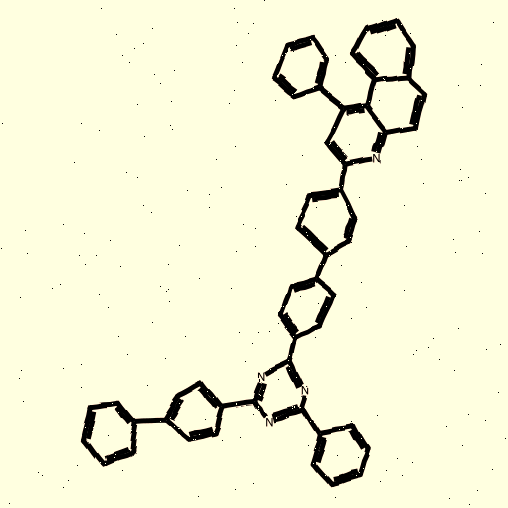 c1ccc(-c2ccc(-c3nc(-c4ccccc4)nc(-c4ccc(-c5ccc(-c6cc(-c7ccccc7)c7c(ccc8ccccc87)n6)cc5)cc4)n3)cc2)cc1